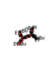 CCCCC(CC)COc1ccc(-c2cc(-c3ccc(OCC(CC)CCCC)cc3)cc(-c3ccc4c(c3)Cc3cc(-c5cc(-c6ccc(OCC(CC)CCCC)cc6)cc(-c6ccc(OCC(CC)CCCC)cc6)c5)ccc3-4)c2)cc1